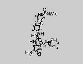 CNC(=O)c1cc(Oc2cccc(NNC(=O)Nc3cc(C)c(Cl)cc3OCCN(C)C)c2)ccn1